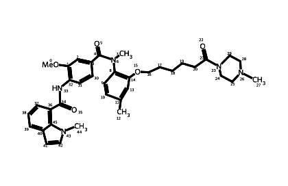 COc1cc(C(=O)N(C)c2ccc(C)cc2OCCCCCC(=O)N2CCN(C)CC2)ccc1NC(=O)c1cccc2ccn(C)c12